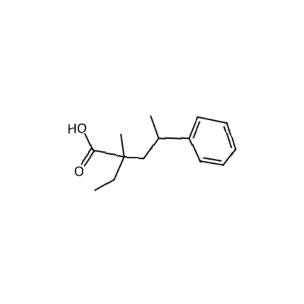 CCC(C)(CC(C)c1ccccc1)C(=O)O